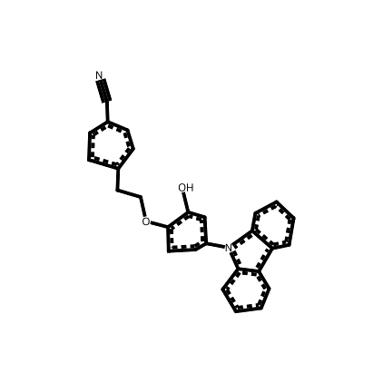 N#Cc1ccc(CCOc2ccc(-n3c4ccccc4c4ccccc43)cc2O)cc1